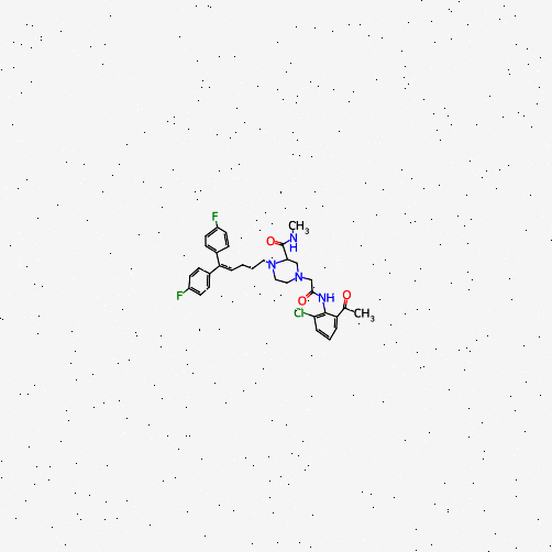 CNC(=O)C1CN(CC(=O)Nc2c(Cl)cccc2C(C)=O)CCN1CCCC=C(c1ccc(F)cc1)c1ccc(F)cc1